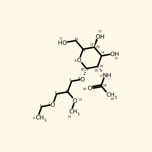 CCOCC(CO[C@@H]1OC(CO)[C@@H](O)C(O)[C@@H]1NC(C)=O)OC